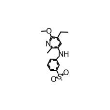 CCc1cc(Nc2cccc(S(C)(=O)=O)c2)c(C)nc1OC